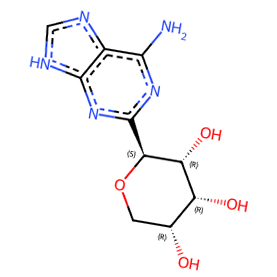 Nc1nc([C@@H]2OC[C@@H](O)[C@@H](O)[C@H]2O)nc2[nH]cnc12